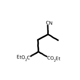 CCOC(=O)C(CC(C)C#N)C(=O)OCC